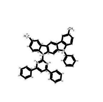 Cc1ccc2c(c1)c1cc3c4cc(C)ccc4n(-c4nc(-c5ccccc5)cc(-c5ccccc5)n4)c3cc1n2-c1ccccc1